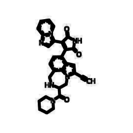 C#Cc1cc2c(C3=C(c4cnc5ccccn45)C(=O)NC3=O)ccc3c2n1CC(C(=O)N1CCCCC1)NC3